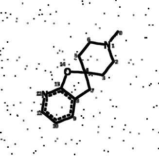 CN1CCC2(CC1)Cc1cccnc1O2